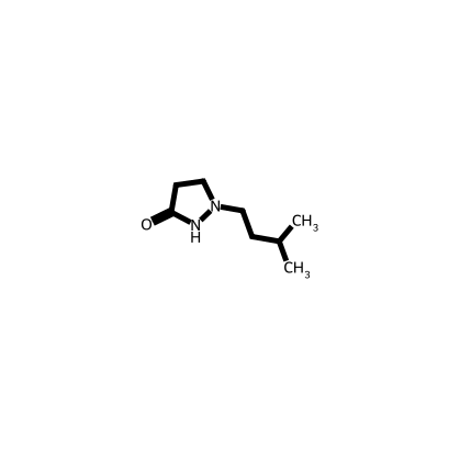 CC(C)CCN1CCC(=O)N1